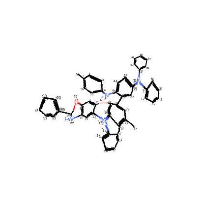 Cc1ccc(N2B3c4cc5c(cc4-n4c6ccccc6c6c(C)cc(c3c64)-c3cc(N(c4ccccc4)c4ccccc4)ccc32)NC(c2ccccc2)O5)cc1